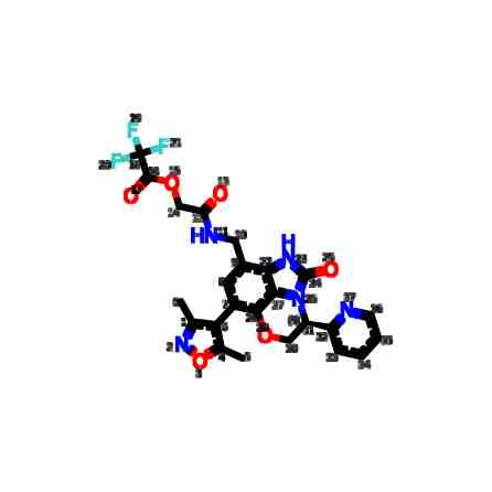 Cc1noc(C)c1-c1cc(CNC(=O)COC(=O)C(F)(F)F)c2[nH]c(=O)n3c2c1OC[C@@H]3c1ccccn1